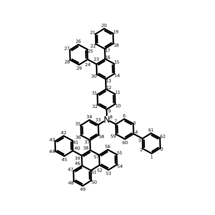 c1ccc(-c2ccc(N(c3ccc(-c4ccc(-c5ccccc5)c(-c5ccccc5)c4)cc3)c3cccc(-c4c(-c5ccccc5)c5ccccc5c5ccccc45)c3)cc2)cc1